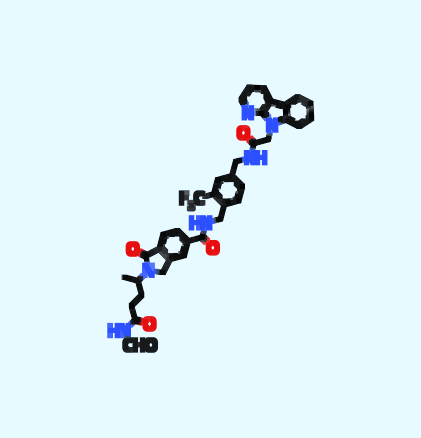 CC(CCC(=O)NC=O)N1Cc2cc(C(=O)NCc3ccc(CNC(=O)Cn4c5ccccc5c5cccnc54)cc3C(F)(F)F)ccc2C1=O